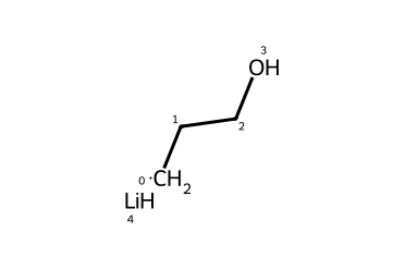 [CH2]CCO.[LiH]